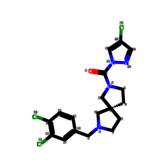 O=C(N1CC[C@@]2(CCN(Cc3ccc(Cl)c(Cl)c3)C2)C1)n1cc(Cl)cn1